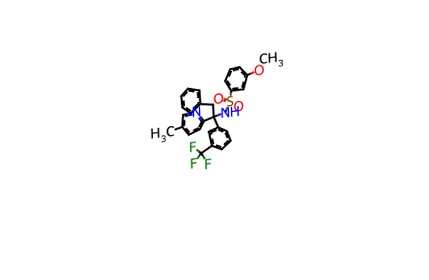 COc1cccc(S(=O)(=O)NC(Cc2ccccc2)(c2cccc(C(F)(F)F)c2)c2ccc(C)cn2)c1